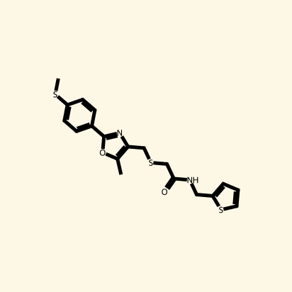 CSc1ccc(-c2nc(CSCC(=O)NCc3cccs3)c(C)o2)cc1